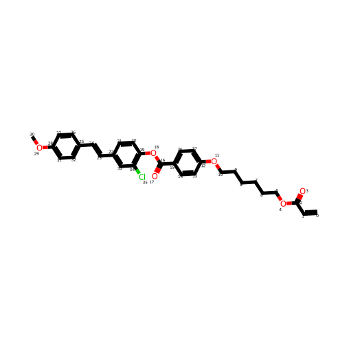 C=CC(=O)OCCCCCCOc1ccc(C(=O)Oc2ccc(C=Cc3ccc(OC)cc3)cc2Cl)cc1